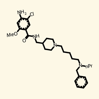 CCCN(CCCCCN1CCC(CNC(=O)c2cc(Cl)c(N)cc2OC)CC1)Cc1ccccc1